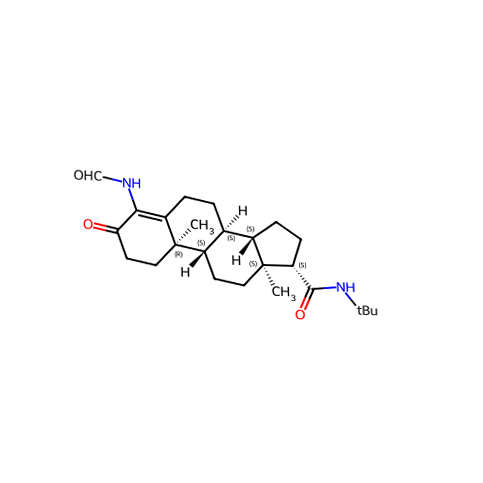 CC(C)(C)NC(=O)[C@H]1CC[C@H]2[C@@H]3CCC4=C(NC=O)C(=O)CC[C@]4(C)[C@H]3CC[C@]12C